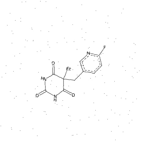 CCC1(Cc2ccc(F)nc2)C(=O)NC(=O)NC1=O